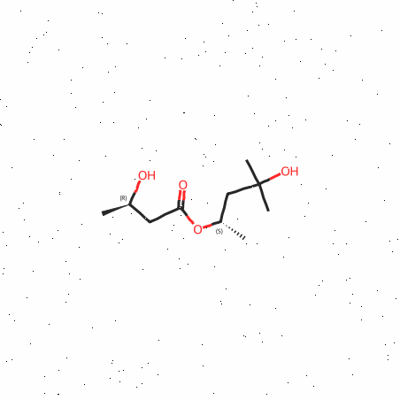 C[C@@H](O)CC(=O)O[C@@H](C)CC(C)(C)O